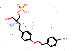 COc1ccc(CCOc2ccc(CC[C@@](N)(CO)COP(=O)(O)O)cc2)cc1